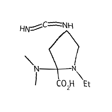 CCN1CCCC1(C(=O)O)N(C)C.N=C=N